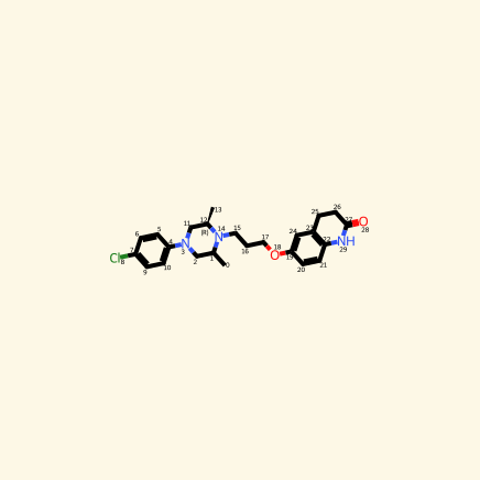 CC1CN(c2ccc(Cl)cc2)C[C@@H](C)N1CCCOc1ccc2c(c1)CCC(=O)N2